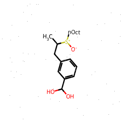 CCCCCCCC[S+]([O-])C(C)Cc1cccc(C(O)O)c1